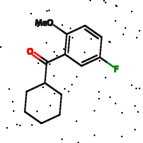 COc1ccc(F)cc1C(=O)C1CCCCC1